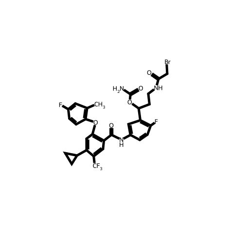 Cc1cc(F)ccc1Oc1cc(C2CC2)c(C(F)(F)F)cc1C(=O)Nc1ccc(F)c(C(CCNC(=O)CBr)OC(N)=O)c1